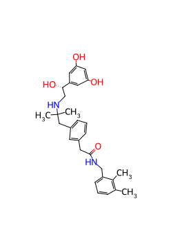 Cc1cccc(CNC(=O)Cc2cccc(CC(C)(C)NC[C@H](O)c3cc(O)cc(O)c3)c2)c1C